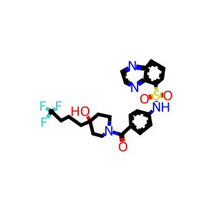 O=C(c1ccc(NS(=O)(=O)c2cccc3nccnc23)cc1)N1CCC(O)(CCCC(F)(F)F)CC1